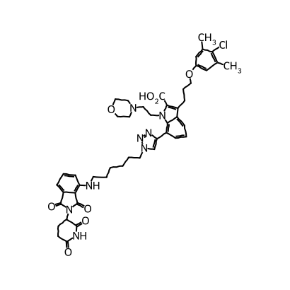 Cc1cc(OCCCc2c(C(=O)O)n(CCN3CCOCC3)c3c(-c4cn(CCCCCCNc5cccc6c5C(=O)N(C5CCC(=O)NC5=O)C6=O)nn4)cccc23)cc(C)c1Cl